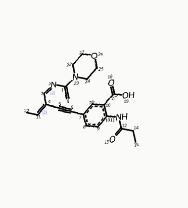 C=C(/N=C\C(C#Cc1ccc(NC(=O)CC)c(C(=O)O)c1)=C/C)N1CCOCC1